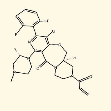 C=CC(=O)N1CCN2C(=O)c3c(N4CCN(C)C[C@@H]4C)nc(-c4c(F)cccc4F)c(Cl)c3OC[C@H]2C1